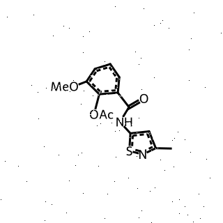 COc1cccc(C(=O)Nc2cc(C)ns2)c1OC(C)=O